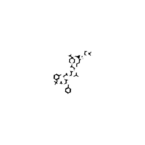 CC(C)C[C@@H](NC(=O)[C@@H](Cc1ccccc1)NC(=O)[C@@H](Cc1ccccc1)NC(=O)OC(C)(C)C)C(=O)N[C@H](CCCCNC[C@@H]1COC(C)(C)O1)C(=O)N1CCC(NC2=CC2)(C(=O)O)CC1